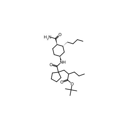 CCCC[C@@H]1C[C@@H](NC(=O)C2(CC(CCC)C(=O)OC(C)(C)C)CCCC2)CC[C@H]1C(N)=O